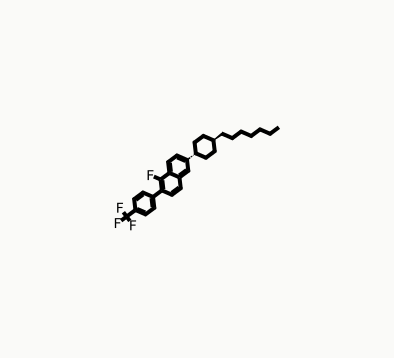 CCCCCCC[C@H]1CC[C@H](c2ccc3c(F)c(-c4ccc(C(F)(F)F)cc4)ccc3c2)CC1